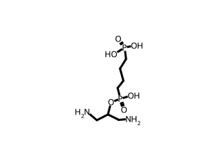 NCC(CN)OP(=O)(O)CCCCP(=O)(O)O